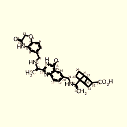 C=C(NCc1ccc2c(c1)NC(=O)CO2)c1nc2ccc(CNC(=C)C34C5C6C3C3C4C5C63C(=O)O)cc2c(=O)[nH]1